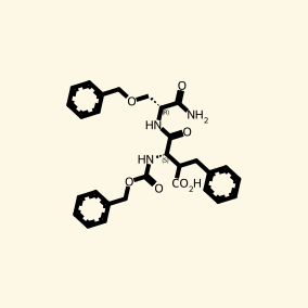 NC(=O)[C@@H](COCc1ccccc1)NC(=O)[C@@H](NC(=O)OCc1ccccc1)C(Cc1ccccc1)C(=O)O